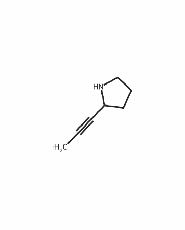 [CH2]C#CC1CCCN1